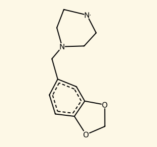 c1cc2c(cc1CN1CC[N]CC1)OCO2